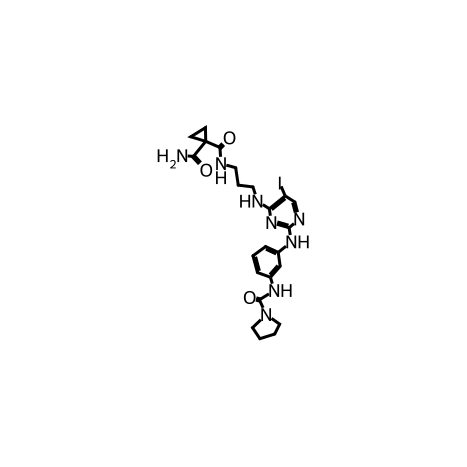 NC(=O)C1(C(=O)NCCCNc2nc(Nc3cccc(NC(=O)N4CCCC4)c3)ncc2I)CC1